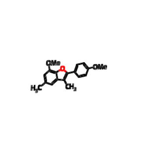 COc1ccc(-c2oc3c(OC)cc(C)cc3c2C)cc1